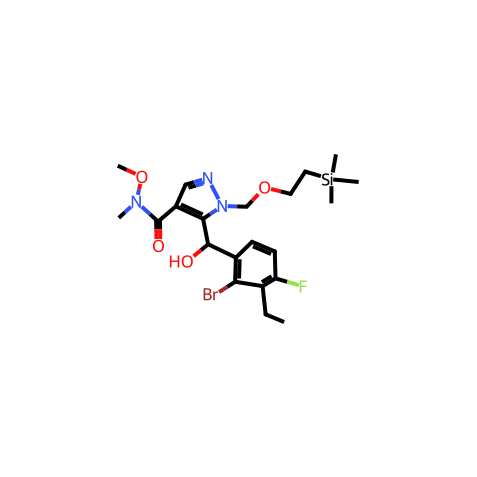 CCc1c(F)ccc(C(O)c2c(C(=O)N(C)OC)cnn2COCC[Si](C)(C)C)c1Br